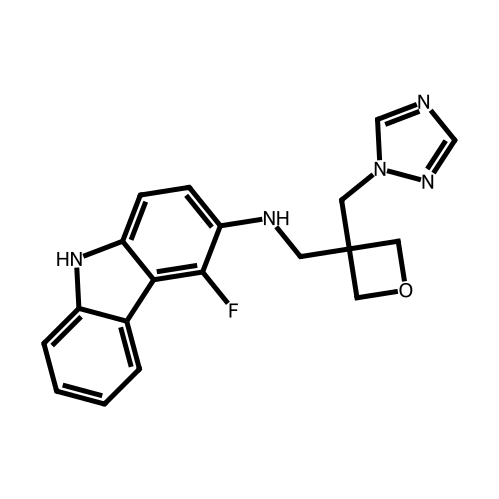 Fc1c(NCC2(Cn3cncn3)COC2)ccc2[nH]c3ccccc3c12